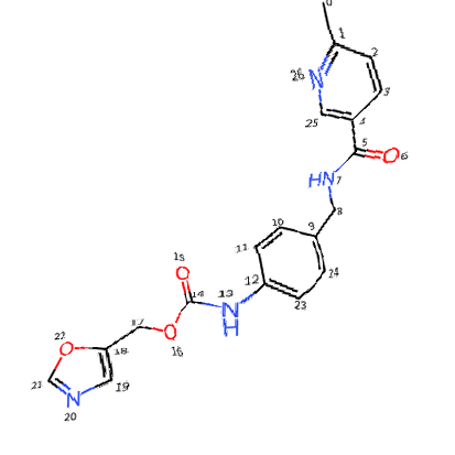 Cc1ccc(C(=O)NCc2ccc(NC(=O)OCc3cnco3)cc2)cn1